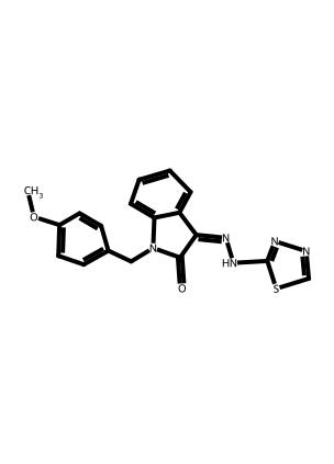 COc1ccc(CN2C(=O)C(=NNc3nncs3)c3ccccc32)cc1